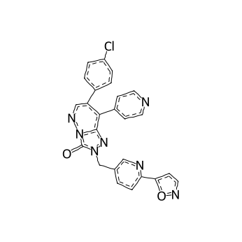 O=c1n(Cc2ccc(-c3ccno3)nc2)nc2c(-c3ccncc3)c(-c3ccc(Cl)cc3)cnn12